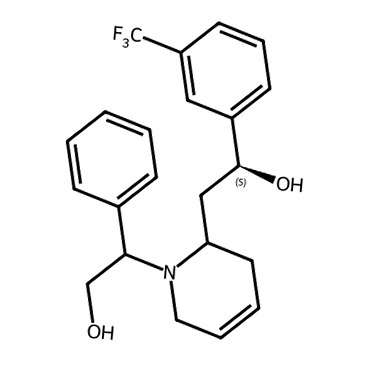 OCC(c1ccccc1)N1CC=CCC1C[C@H](O)c1cccc(C(F)(F)F)c1